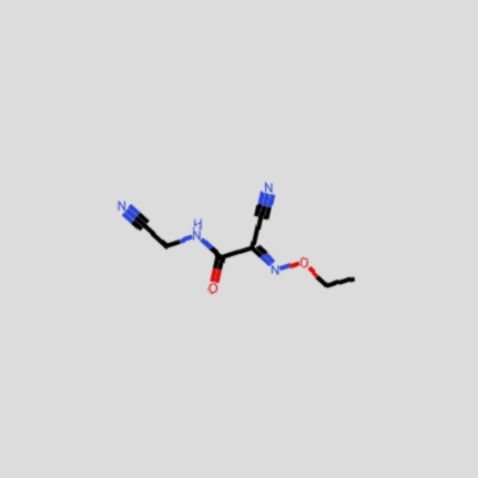 CCO/N=C(\C#N)C(=O)NCC#N